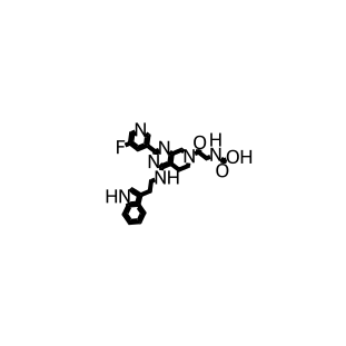 O=C(O)NCC(=O)N1CCc2c(nc(-c3cncc(F)c3)nc2NCCc2c[nH]c3ccccc23)C1